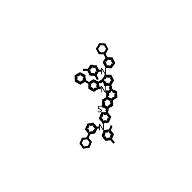 Cc1ccc(N(c2cccc(C3CCCCC3)c2)c2ccc3c(c2)sc2cc4c(ccc5c6ccc(N(c7cccc(C8CCCCC8)c7)c7ccc(C)cc7C)c7c8cc(-c9ccccc9)ccc8n(c45)c67)cc23)c(C)c1